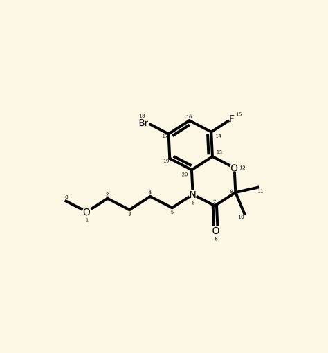 COCCCCN1C(=O)C(C)(C)Oc2c(F)cc(Br)cc21